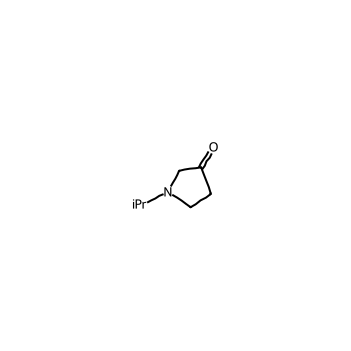 CC(C)N1CCC(=O)C1